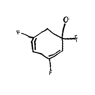 [O]C1(F)C=C(F)C=C(F)C1